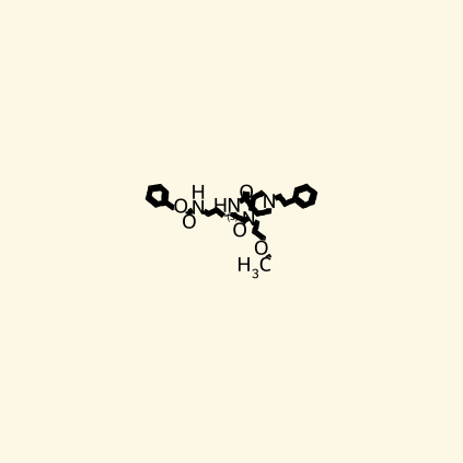 CCOCCCN1C(=O)[C@H](CCCNC(=O)OCc2ccccc2)NC(=O)C12CCN(CCc1ccccc1)CC2